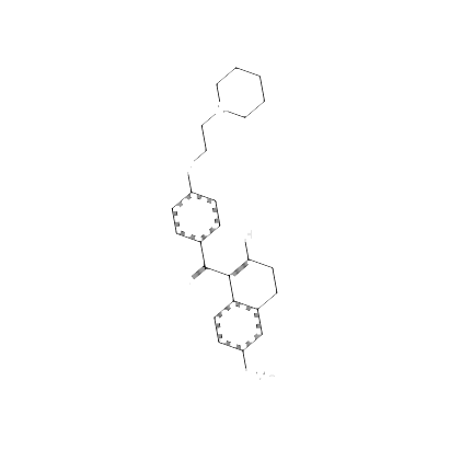 COc1ccc2c(c1)CCC(O)=C2C(=O)c1ccc(OCCN2CCCCC2)cc1